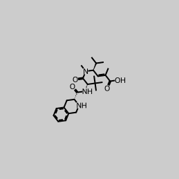 C/C(=C\[C@H](C(C)C)N(C)C(=O)[C@@H](NC(=O)[C@H]1Cc2ccccc2CN1)C(C)(C)C)C(=O)O